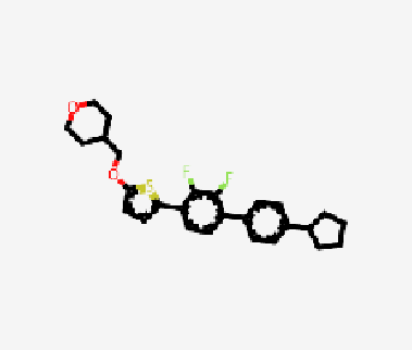 Fc1c(-c2ccc(C3CCCC3)cc2)ccc(-c2ccc(OCC3CCOCC3)s2)c1F